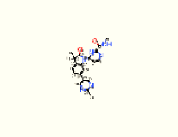 CNC(=O)c1nccc(N2C(=O)C(C)(C)c3ccc(-c4cnc(C)nc4)cc32)n1